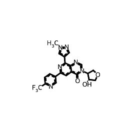 Cn1cc(-c2nc(-c3ccc(C(F)(F)F)nc3)cc3c(=O)n(C4COC[C@@H]4O)cnc23)cn1